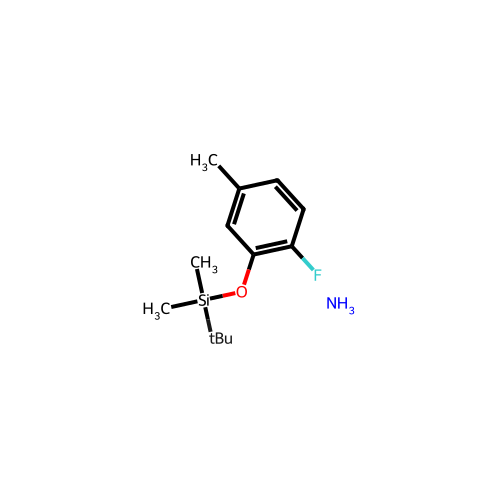 Cc1ccc(F)c(O[Si](C)(C)C(C)(C)C)c1.N